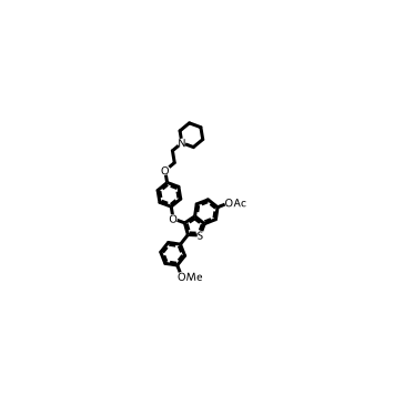 COc1cccc(-c2sc3cc(OC(C)=O)ccc3c2Oc2ccc(OCCN3CCCCC3)cc2)c1